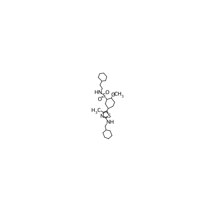 COC1CCC(c2sc(NCC3CCCCC3)nc2C)CC1S(=O)(=O)NCCC1CCCCC1